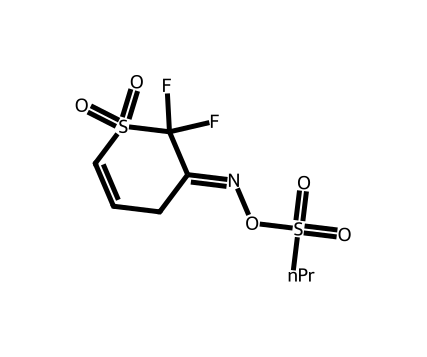 CCCS(=O)(=O)ON=C1CC=CS(=O)(=O)C1(F)F